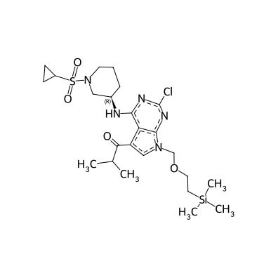 CC(C)C(=O)c1cn(COCC[Si](C)(C)C)c2nc(Cl)nc(N[C@@H]3CCCN(S(=O)(=O)C4CC4)C3)c12